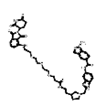 Cn1ncc2cc(C(=O)Nc3ccc4[nH]c(CN5CCC(CCNC(=O)CCOCCOCCOCCNc6cccc7c6C(=O)N(C6CCC(=O)NC6=O)C7=O)C5)nc4c3)ccc21